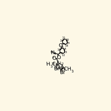 CC(CC1C(C(=O)OC(C#N)c2cccc(Oc3ccccc3)c2)C1(C)C)=C(Br)Br